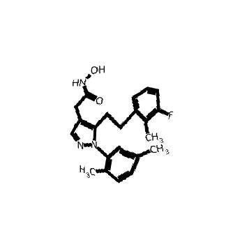 Cc1ccc(C)c(-n2ncc(CC(=O)NO)c2CCc2cccc(F)c2C)c1